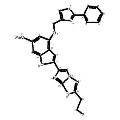 COc1cc(OCc2csc(-c3ccccc3)n2)c2cc(-c3cn4nc(CCF)sc4n3)oc2c1